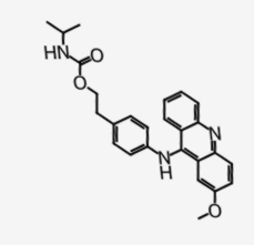 COc1ccc2nc3ccccc3c(Nc3ccc(CCOC(=O)NC(C)C)cc3)c2c1